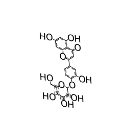 O=c1cc(-c2ccc(OC3O[C@H](CO)[C@@H](O)[C@H](O)[C@H]3O)c(O)c2)oc2cc(O)cc(O)c12